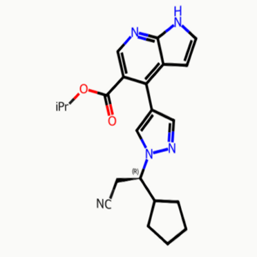 CC(C)OC(=O)c1cnc2[nH]ccc2c1-c1cnn([C@H](CC#N)C2CCCC2)c1